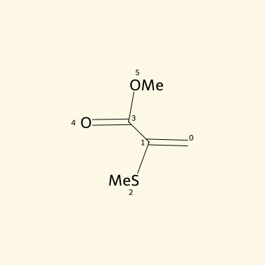 C=C(SC)C(=O)OC